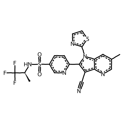 Cc1cnc2c(C#N)c(-c3ccc(S(=O)(=O)N[C@@H](C)C(F)(F)F)cn3)n(-c3nccs3)c2c1